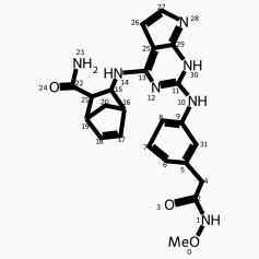 CONC(=O)Cc1cccc(Nc2nc(NC3C4C=CC(C4)C3C(N)=O)c3ccnc-3[nH]2)c1